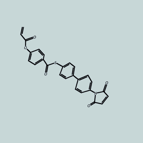 C=CC(=O)Oc1ccc(C(=O)Sc2ccc(-c3ccc(N4C(=O)C=CC4=O)cc3)cc2)cc1